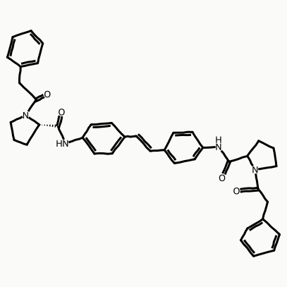 O=C(Nc1ccc(/C=C/c2ccc(NC(=O)[C@@H]3CCCN3C(=O)Cc3ccccc3)cc2)cc1)C1CCCN1C(=O)Cc1ccccc1